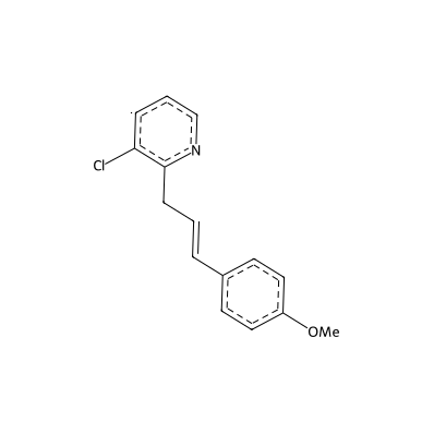 COc1ccc(C=CCc2ncc[c]c2Cl)cc1